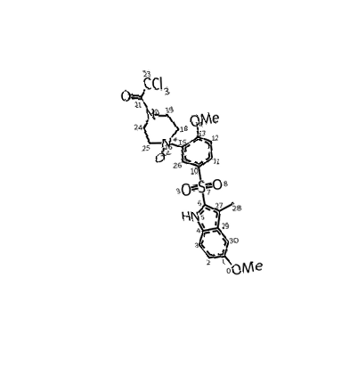 COc1ccc2[nH]c(S(=O)(=O)c3ccc(OC)c([N+]4([O-])CCN(C(=O)C(Cl)(Cl)Cl)CC4)c3)c(C)c2c1